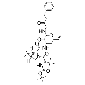 C=CCCC(NC(=O)C1[C@@H]2[C@H](CN1C(=O)[C@@H](NC(=O)OC(C)(C)C)C(C)(C)C)C2(C)C)C(=O)C(=O)NCC(=O)CCc1ccccc1